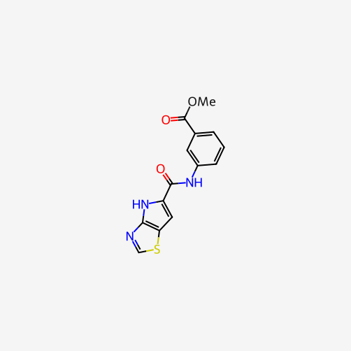 COC(=O)c1cccc(NC(=O)c2cc3scnc3[nH]2)c1